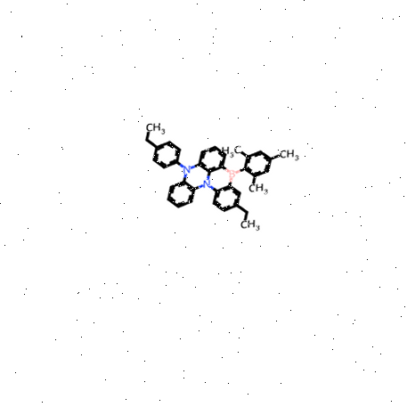 CCc1ccc(N2c3ccccc3N3c4ccc(CC)cc4B(c4c(C)cc(C)cc4C)c4cccc2c43)cc1